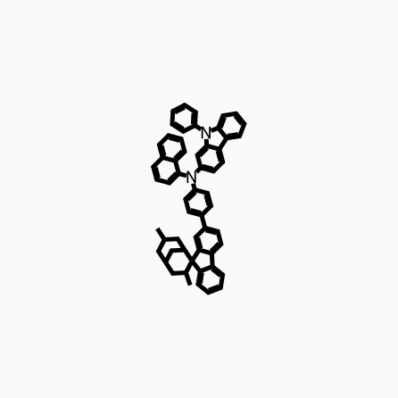 CC1CC2CC(C)C3(c4ccccc4-c4ccc(-c5ccc(N(c6ccc7c8ccccc8n(-c8ccccc8)c7c6)c6cccc7ccccc67)cc5)cc43)C(C1)C2